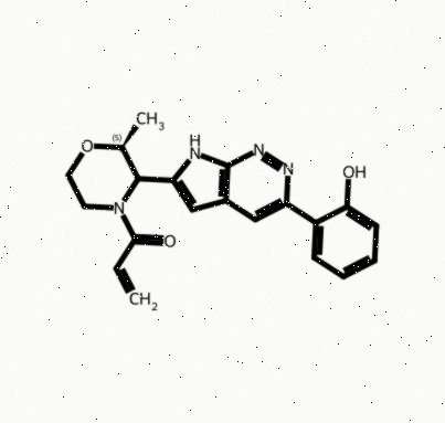 C=CC(=O)N1CCO[C@@H](C)C1c1cc2cc(-c3ccccc3O)nnc2[nH]1